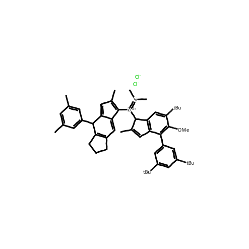 COc1c(C(C)(C)C)cc2c(c1-c1cc(C(C)(C)C)cc(C(C)(C)C)c1)C=C(C)[CH]2[Zr+2]([C]1=C(C)C=C2C1=CC1=C(CCC1)C2c1cc(C)cc(C)c1)=[Si](C)C.[Cl-].[Cl-]